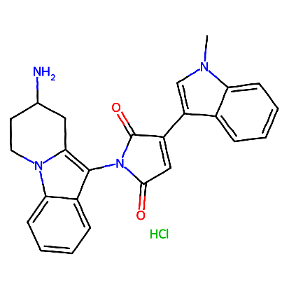 Cl.Cn1cc(C2=CC(=O)N(c3c4n(c5ccccc35)CCC(N)C4)C2=O)c2ccccc21